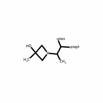 CCCCCCCC(CCCCCC)C(C)N1CC(C)(O)C1